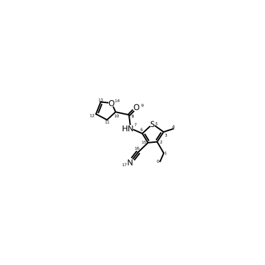 CCc1c(C)sc(NC(=O)C2CC=CO2)c1C#N